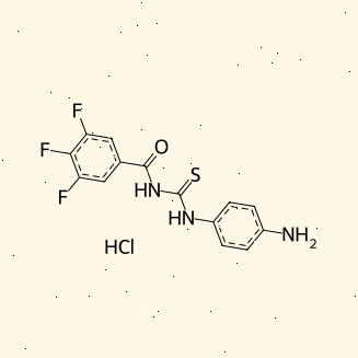 Cl.Nc1ccc(NC(=S)NC(=O)c2cc(F)c(F)c(F)c2)cc1